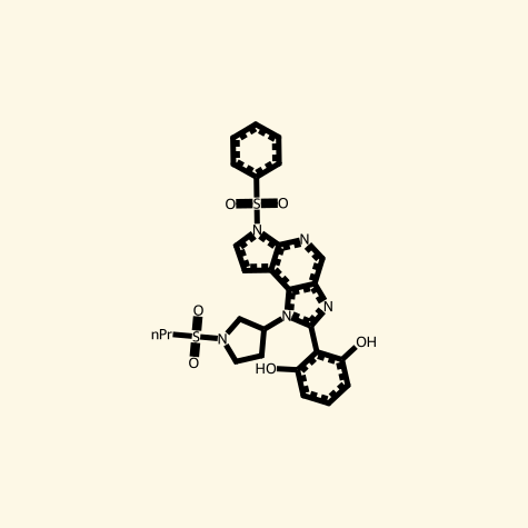 CCCS(=O)(=O)N1CCC(n2c(-c3c(O)cccc3O)nc3cnc4c(ccn4S(=O)(=O)c4ccccc4)c32)C1